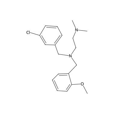 COc1ccccc1CN(CCN(C)C)Cc1cccc(Cl)c1